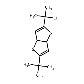 CC(C)(C)C1=CC2SC(C(C)(C)C)=CC2S1